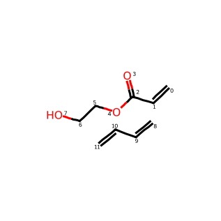 C=CC(=O)OCCO.C=CC=C